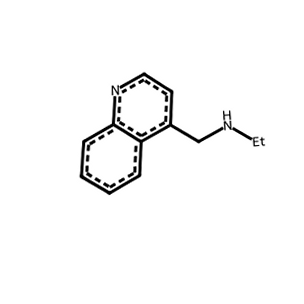 [CH2]CNCc1ccnc2ccccc12